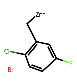 Fc1ccc(Cl)c([CH2][Zn+])c1.[Br-]